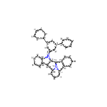 c1ccc(-c2cc(-c3ccccc3)cc(-n3c4ccccc4c4c3c3c5ccccc5c5cccc4n53)c2)cc1